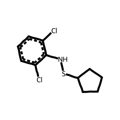 Clc1cccc(Cl)c1NSC1CCCC1